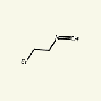 [CH]=NCCCC